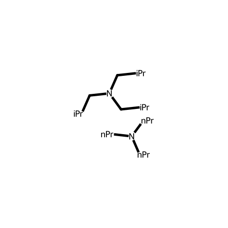 CC(C)CN(CC(C)C)CC(C)C.CCCN(CCC)CCC